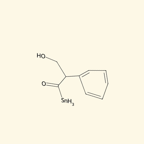 O=[C]([SnH3])C(CO)c1ccccc1